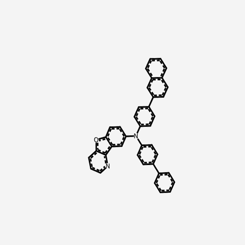 c1ccc(-c2ccc(N(c3ccc(-c4ccc5ccccc5c4)cc3)c3ccc4oc5cccnc5c4c3)cc2)cc1